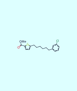 COC(=O)c1ccc(CCCCCCc2cccc(Cl)c2)s1